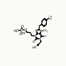 C#CCn1c(=O)c2c(nc(Cc3ccc(Cl)cc3)n2C)n(CCCOP(=O)(O)O)c1=O